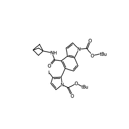 CC(C)(C)OC(=O)n1ccc(I)c1-c1ccc2c(ccn2C(=O)OC(C)(C)C)c1C(=O)NC12CC(C1)C2